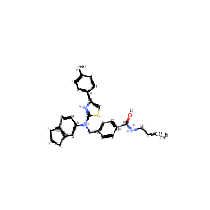 CC(C)(C)c1ccc(-c2csc(N(Cc3ccc(C(=O)NCCC(=O)O)cc3)c3ccc4c(c3)CCC4)n2)cc1